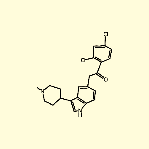 CN1CCC(c2c[nH]c3ccc(CC(=O)c4ccc(Cl)cc4Cl)cc23)CC1